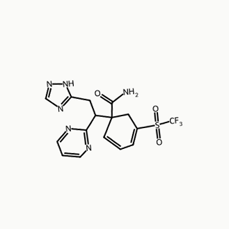 NC(=O)C1(C(Cc2ncn[nH]2)c2ncccn2)C=CC=C(S(=O)(=O)C(F)(F)F)C1